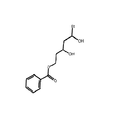 CCC(O)CC(O)CCOC(=O)c1ccccc1